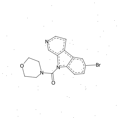 O=C(N1CCOCC1)n1c2ccc(Br)cc2c2ccncc21